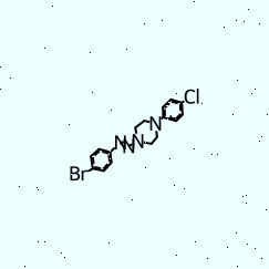 Clc1ccc(N2CCN(N=Nc3ccc(Br)cc3)CC2)cc1